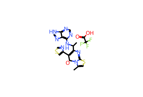 Cc1csc2nc(C(C)Nc3ncnc4[nH]cnc34)c(-c3cscn3)c(=O)n12.O=C(O)C(F)(F)F